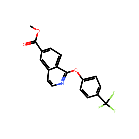 COC(=O)c1ccc2c(Oc3ccc(C(F)(F)F)cc3)nccc2c1